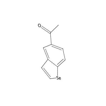 CC(=O)c1ccc2[se]ccc2c1